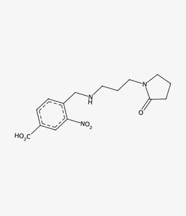 O=C(O)c1ccc(CNCCCN2CCCC2=O)c([N+](=O)[O-])c1